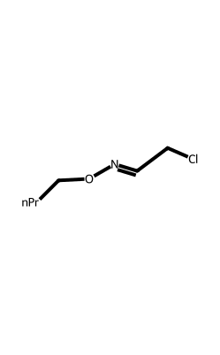 CCCCON=CCCl